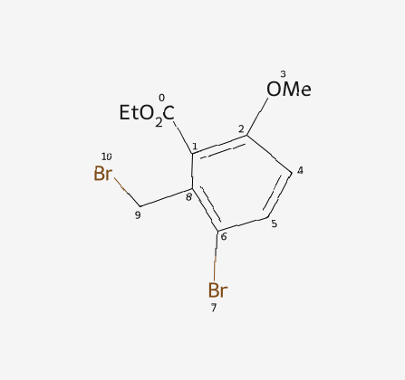 CCOC(=O)c1c(OC)ccc(Br)c1CBr